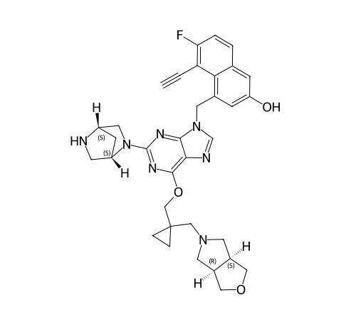 C#Cc1c(F)ccc2cc(O)cc(Cn3cnc4c(OCC5(CN6C[C@H]7COC[C@H]7C6)CC5)nc(N5C[C@@H]6C[C@H]5CN6)nc43)c12